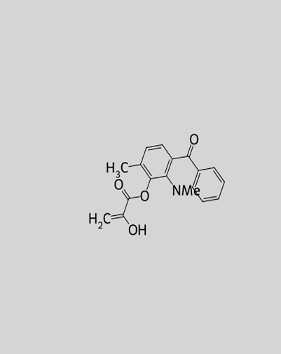 C=C(O)C(=O)Oc1c(C)ccc(C(=O)c2ccccc2)c1NC